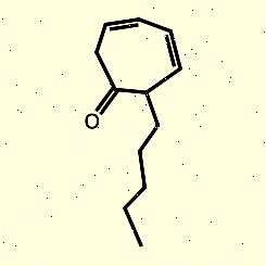 CCCCCC1C=CC=CCC1=O